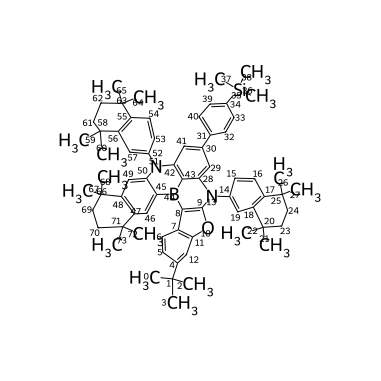 CC(C)(C)c1ccc2c3c(oc2c1)N(c1ccc2c(c1)C(C)(C)CCC2(C)C)c1cc(-c2ccc([Si](C)(C)C)cc2)cc2c1B3c1cc3c(cc1N2c1ccc2c(c1)C(C)(C)CCC2(C)C)C(C)(C)CCC3(C)C